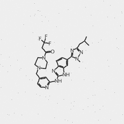 CC(C)Cc1nc(-c2ccc3nc(Nc4cc(CN5CCN(C(=O)CC(F)(F)F)CC5)ccn4)[nH]c3c2)n(C)n1